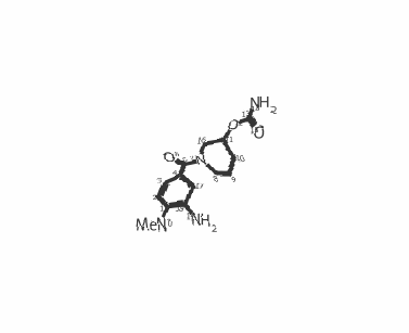 CNc1ccc(C(=O)N2CCCC(OC(N)=O)C2)cc1N